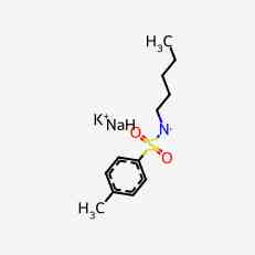 CCCCC[N]S(=O)(=O)c1ccc(C)cc1.[K+].[NaH]